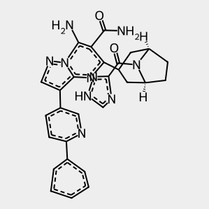 NC(=O)c1c(C2C[C@H]3CC[C@@H](C2)N3C(=O)c2nc[nH]n2)nc2c(-c3ccc(-c4ccccc4)nc3)cnn2c1N